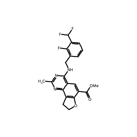 COC(=O)c1cc2c(NCc3cccc(C(F)F)c3F)nc(C)nc2c2c1OCC2